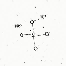 [K+].[Nb+5].[O-][Si]([O-])([O-])[O-]